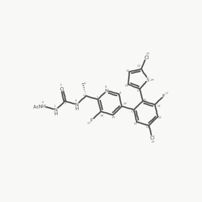 CC(=O)NNC(=O)N[C@H](C)c1ncc(-c2cc(Cl)cc(F)c2-c2ccc(Cl)s2)cc1F